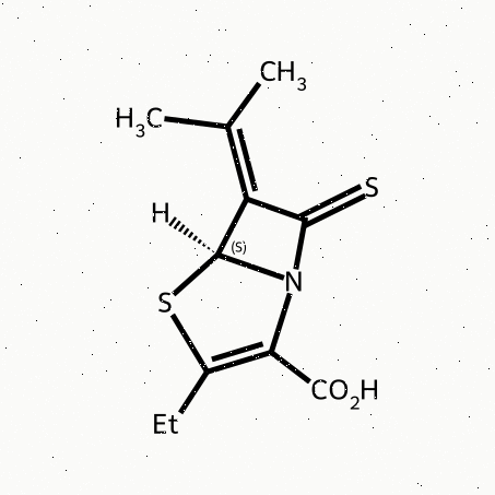 CCC1=C(C(=O)O)N2C(=S)C(=C(C)C)[C@@H]2S1